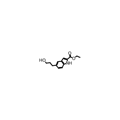 CCOC(=O)c1cc2cc(CCCO)ccc2[nH]1